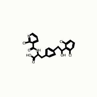 O=C(NC(Cc1ccc(CC(O)c2c(Cl)cccc2Cl)cc1)C(=O)O)c1cccnc1Cl